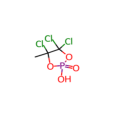 CC1(Cl)OP(=O)(O)OC1(Cl)Cl